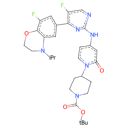 CC(C)N1CCOc2c(F)cc(-c3nc(Nc4ccn(C5CCN(C(=O)OC(C)(C)C)CC5)c(=O)c4)ncc3F)cc21